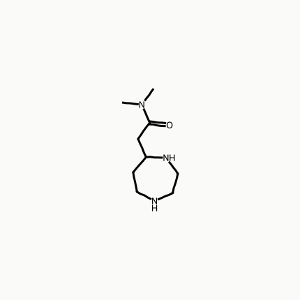 CN(C)C(=O)CC1CCNCCN1